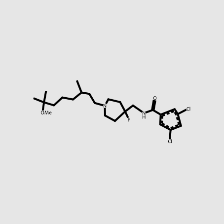 COC(C)(C)CCCC(C)CCN1CCC(F)(CNC(=O)c2cc(Cl)cc(Cl)c2)CC1